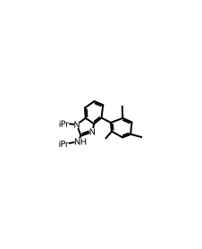 Cc1cc(C)c(-c2cccc3c2nc(NC(C)C)n3C(C)C)c(C)c1